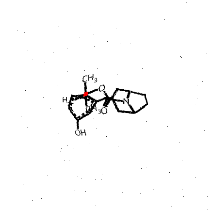 CC(C)(C)OC(=O)N1C2CCC1CC(c1cccc(O)c1)C2